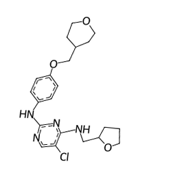 Clc1cnc(Nc2ccc(OCC3CCOCC3)cc2)nc1NCC1CCCO1